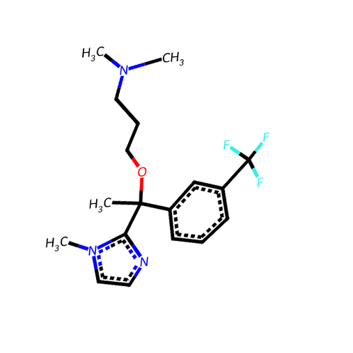 CN(C)CCCOC(C)(c1cccc(C(F)(F)F)c1)c1nccn1C